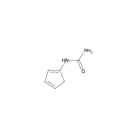 NC(=O)NC1=CC=CC1